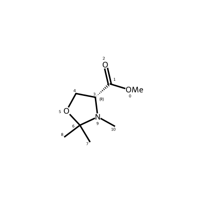 COC(=O)[C@H]1COC(C)(C)N1C